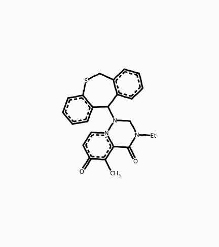 CCN1CN(C2c3ccccc3CSc3ccccc32)n2ccc(=O)c(C)c2C1=O